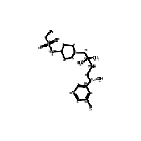 CC(C)CS(=O)(=O)N[C@H]1CC[C@@H](CC(C)(C)NC[C@H](O)c2cncc(F)c2)CC1